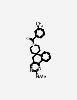 CNc1ncc2c(n1)-c1ccccc1C1(CCN(C(=O)c3cccc(C(F)(F)F)c3)CC1)C2